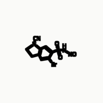 N#CN1CCc2cc(Br)c(S(=O)(=O)NN=O)cc21